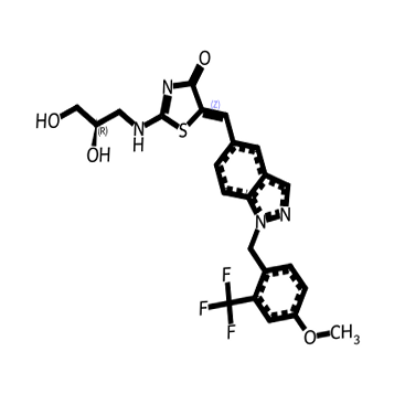 COc1ccc(Cn2ncc3cc(/C=C4\SC(NC[C@@H](O)CO)=NC4=O)ccc32)c(C(F)(F)F)c1